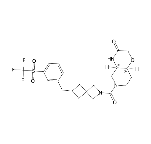 O=C1CO[C@H]2CCN(C(=O)N3CC4(CC(Cc5cccc(S(=O)(=O)C(F)(F)F)c5)C4)C3)C[C@H]2N1